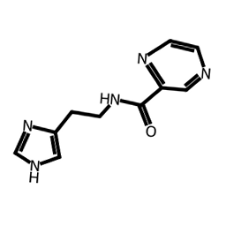 O=C(NCCc1c[nH]cn1)c1cnccn1